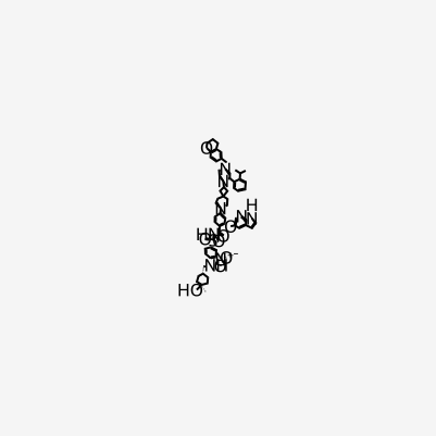 CC(C)c1ccccc1C1CN(Cc2ccc3c(c2)CCCO3)CCN1C1CC2(CCN(c3ccc(C(=O)NS(=O)(=O)c4ccc(NC[C@H]5CC[C@](C)(O)CC5)c([N+](=O)[O-])c4)c(Oc4cnc5[nH]ccc5c4)c3)CC2)C1